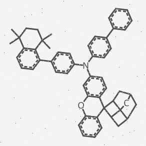 CC1(C)CCC(C)(C)c2c(-c3ccc(N(c4ccc(-c5ccccc5)cc4)c4ccc5c(c4)Oc4ccccc4C54C5CC6CC7CC4C75C6)cc3)cccc21